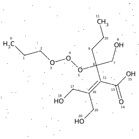 CCCOOOC(CO)(CCC)C(C(=O)O)=C(CO)CO